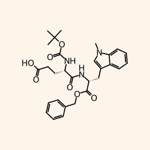 Cn1cc(C[C@@H](NC(=O)[C@H](CCC(=O)O)NC(=O)OC(C)(C)C)C(=O)OCc2ccccc2)c2ccccc21